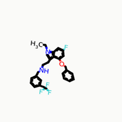 CCn1cc(CCNCc2cccc(C(F)(F)F)c2)c2c(OCc3ccccc3)cc(F)cc21